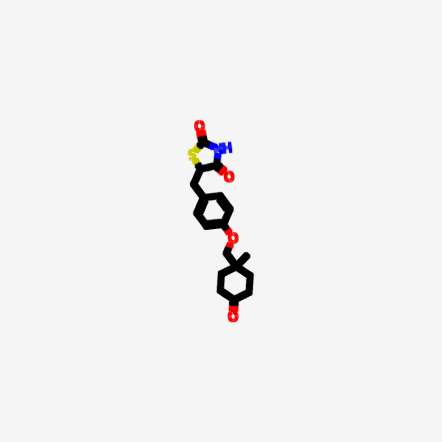 CC1(COc2ccc(CC3SC(=O)NC3=O)cc2)CCC(=O)CC1